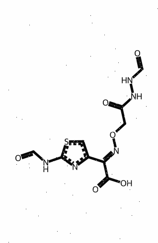 O=CNNC(=O)CO/N=C(/C(=O)O)c1csc(NC=O)n1